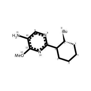 CC[C@H](C)[C@@H]1CCCCC1c1ncc(N)c(OC)n1